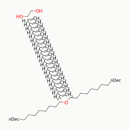 C=C.C=C.C=C.C=C.C=C.C=C.C=C.C=C.C=C.C=C.C=C.C=C.C=C.C=C.C=C.C=C.C=C.C=C.C=C.C=C.CCCCCCCCCCCCCCCCCCOCCCCCCCCCCCCCCCCCC.OCCO